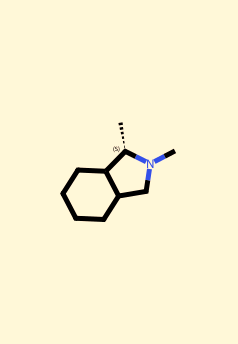 C[C@H]1C2CCCCC2CN1C